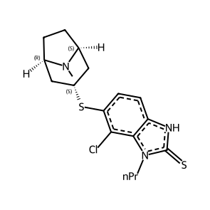 CCCn1c(=S)[nH]c2ccc(S[C@@H]3C[C@H]4CC[C@@H](C3)N4C)c(Cl)c21